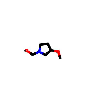 COC1CCN(C[O])C1